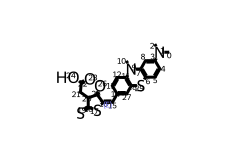 CN(C)c1ccc2c(c1)N(C)c1ccc(/C=C3/SC(=S)C(CC(=O)O)C3=O)cc1S2